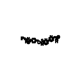 CC(C)c1noc(N2CCC(COc3nc4ccc(-c5ccc(C[SH](=O)=O)nc5)nc4s3)CC2)n1